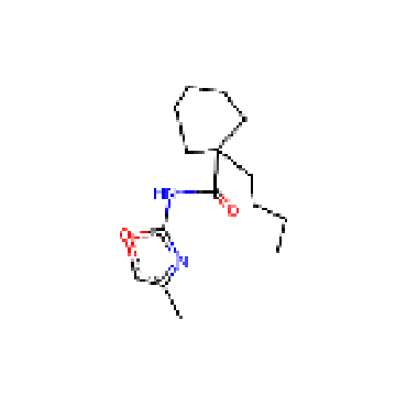 CCCCC1(C(=O)Nc2nc(C)co2)CCCCC1